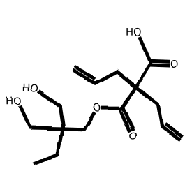 C=CCC(CC=C)(C(=O)O)C(=O)OCC(CC)(CO)CO